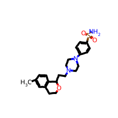 Cc1ccc2c(c1)CCOC2CCN1CCN(c2ccc(S(N)(=O)=O)cc2)CC1